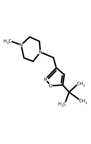 CN1CCN(Cc2cc(C(C)(C)C)on2)CC1